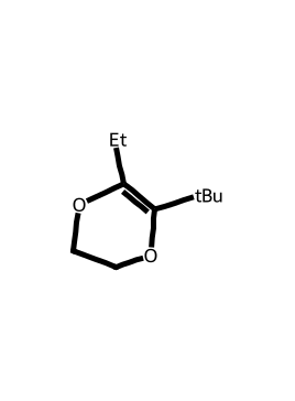 CCC1=C(C(C)(C)C)OCCO1